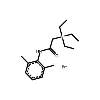 CC[N+](CC)(CC)CC(=O)Nc1c(C)cccc1C.[Br-]